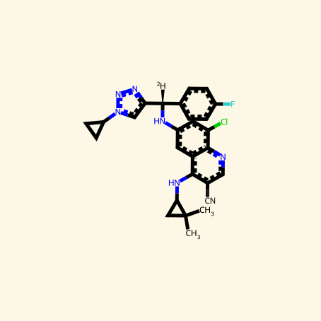 [2H][C@](Nc1cc(Cl)c2ncc(C#N)c(NC3CC3(C)C)c2c1)(c1ccc(F)cc1)c1cn(C2CC2)nn1